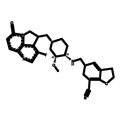 CO[C@@H]1CN(CC2Cn3c(=O)ccc4ncc(F)c2c43)CC[C@@H]1NCC1C=C2CCOC2=C(C#N)C1